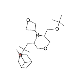 CN1CC2CC(C1)C2OC(C)(C)CC1COCC(COC(C)(C)C)N1C1COC1